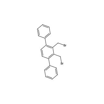 BrCc1c(-c2ccccc2)ccc(-c2ccccc2)c1CBr